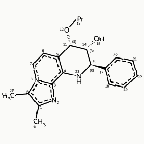 Cc1nc2c3c(ccn2c1C)[C@H](OC(C)C)[C@H](O)[C@@H](c1ccccc1)N3